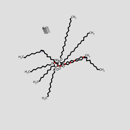 CCCCCCCC/C=C\CCCCCCCCOP(=O)(OCCCCCCCC/C=C\CCCCCCCC)C(CCCCCCCCCCCCCCCCC)P(=O)(OCCCCCCCCCCCCCCCCCC)OP(=O)(OCCCCCCCCCC)C(CCCCCCCCC)P(=O)(OCCCCCCCCCCCC)OCCCCCCCCCCCC.[Nd+3].[Nd+3].[Nd+3].[Nd+3]